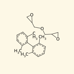 C(OCC1CO1)C1CO1.Cc1cccc(C)c1-c1c(C)cccc1C